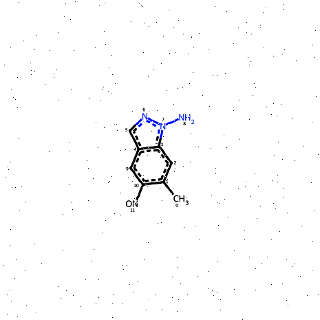 Cc1cc2c(cnn2N)cc1N=O